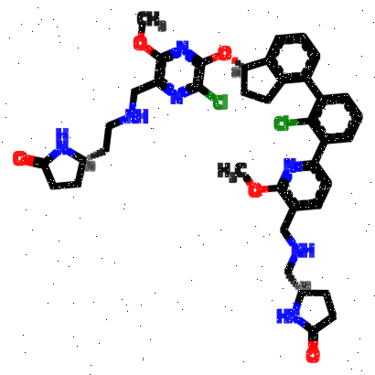 COc1nc(-c2cccc(-c3cccc4c3CC[C@@H]4Oc3nc(OC)c(CNCC[C@@H]4CCC(=O)N4)nc3Cl)c2Cl)ccc1CNC[C@@H]1CCC(=O)N1